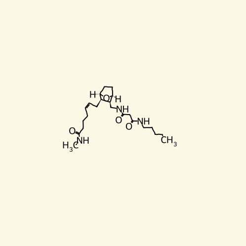 CCCCCNC(=O)CC(=O)NC[C@H]1[C@@H](C/C=C\CCCC(=O)NC)[C@H]2CC[C@@H]1O2